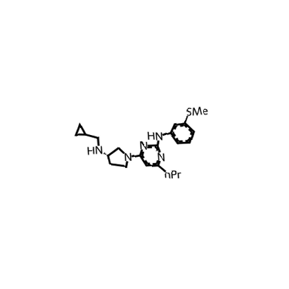 CCCc1cc(N2CC[C@H](NCC3CC3)C2)nc(Nc2cccc(SC)c2)n1